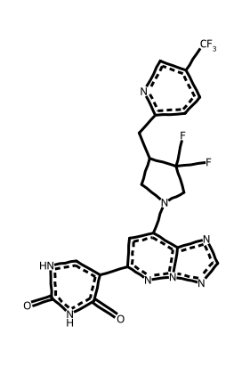 O=c1[nH]cc(-c2cc(N3CC(Cc4ccc(C(F)(F)F)cn4)C(F)(F)C3)c3ncnn3n2)c(=O)[nH]1